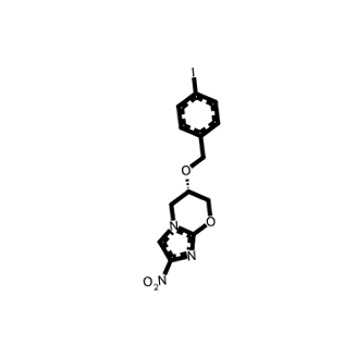 O=[N+]([O-])c1cn2c(n1)OC[C@@H](OCc1ccc(I)cc1)C2